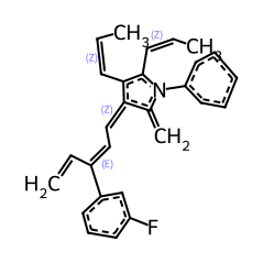 C=C/C(=C\C=c1\c(/C=C\C)c(/C=C\C)n(-c2ccccc2)c1=C)c1cccc(F)c1